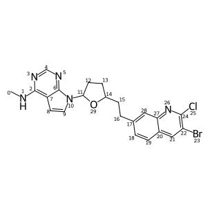 CNc1ncnc2c1ccn2C1CCC(CCc2ccc3cc(Br)c(Cl)nc3c2)O1